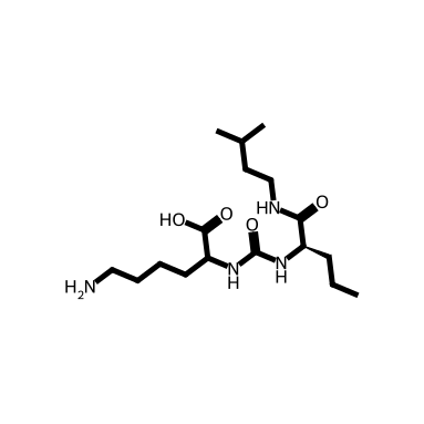 CCC[C@@H](NC(=O)NC(CCCCN)C(=O)O)C(=O)NCCC(C)C